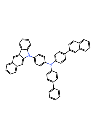 c1ccc(-c2ccc(N(c3ccc(-c4ccc5ccccc5c4)cc3)c3ccc(-n4c5ccccc5c5cc6ccccc6cc54)cc3)cc2)cc1